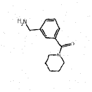 NCc1cccc(C(=O)N2CCCCC2)c1